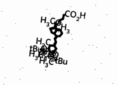 C=C1C(=CC=C2CCC[C@]3(C)C([C@H](C)OCCCC(=O)O)=CCC23)C[C@@H](O[Si](C)(C)C(C)(C)C)C[C@@H]1O[Si](C)(C)C(C)(C)C